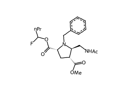 CCCC(F)OC(=O)[C@H]1C[C@@H](C(=O)OC)[C@H](CNC(C)=O)N1Cc1ccccc1